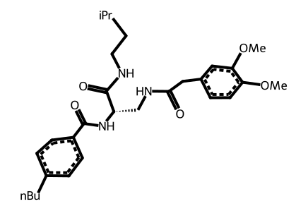 CCCCc1ccc(C(=O)N[C@@H](CNC(=O)Cc2ccc(OC)c(OC)c2)C(=O)NCCC(C)C)cc1